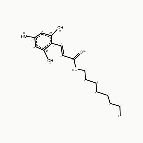 CCCCCCCCOC(=O)C=Cc1c(O)cc(O)cc1O